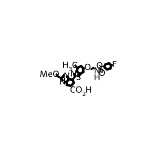 COCc1cnc2c(-c3nc4c(C)cc(OCCNS(=O)(=O)c5ccc(F)cc5)cc4s3)cc(C(=O)O)cc2n1